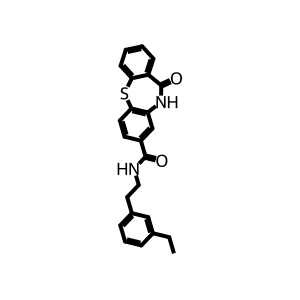 CCc1cccc(CCNC(=O)c2ccc3c(c2)NC(=O)c2ccccc2S3)c1